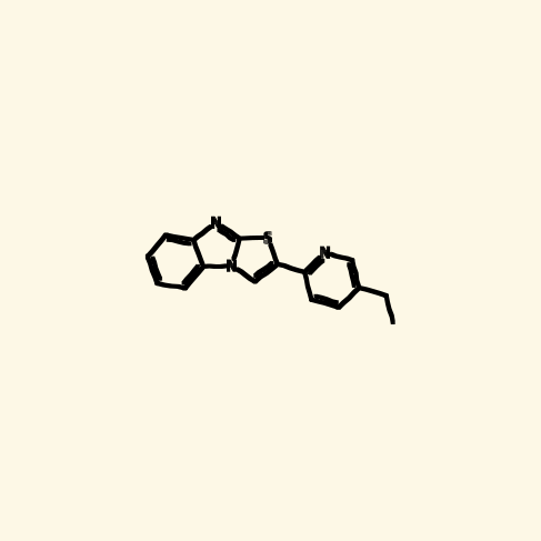 CCc1ccc(-c2cn3c(nc4ccccc43)s2)nc1